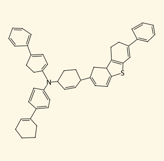 C1=CC(N(C2=CC=C(c3ccccc3)CC2)c2ccc(C3=CCCCC3)cc2)CCC1C1=CC=C2SC3=C(CCC(c4ccccc4)=C3)C2C1